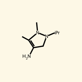 CC1=C(N)CN(C(C)C)N1C